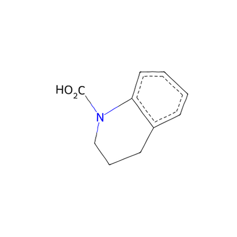 O=C(O)N1CCCc2ccccc21